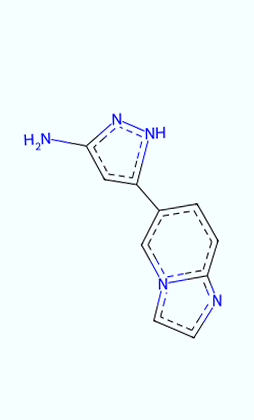 Nc1cc(-c2ccc3nccn3c2)[nH]n1